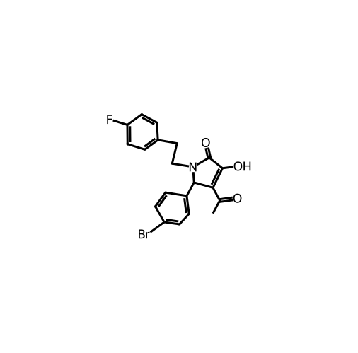 CC(=O)C1=C(O)C(=O)N(CCc2ccc(F)cc2)C1c1ccc(Br)cc1